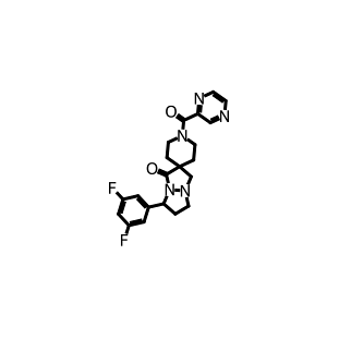 O=C(c1cnccn1)N1CCC2(CC1)CN1CCC(c3cc(F)cc(F)c3)N1C2=O